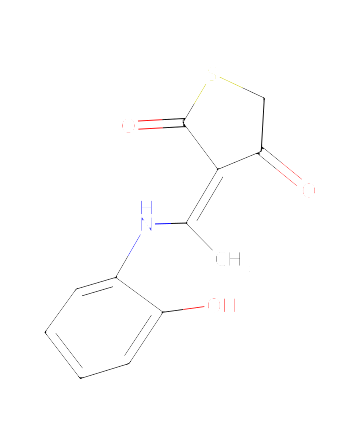 C/C(Nc1ccccc1O)=C1\C(=O)CSC1=O